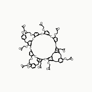 c1cc(OCC2CO2)ccc1Cc1cc2c(OCC3CO3)c(c1)Cc1cc3cc(c1OCC1CO1)Cc1ccc(OCC4CO4)c(c1)Cc1cc(c(OCC4CO4)c(c1)C3)Cc1ccc(OCC3CO3)c(c1)Cc1ccc(OCC3CO3)c(c1)Cc1ccc(OCC3CO3)c(c1)Cc1cc(Cc3ccc(OCC4CO4)cc3)c(OCC3CO3)c(c1)Cc1ccc(OCC3CO3)c(c1)C2